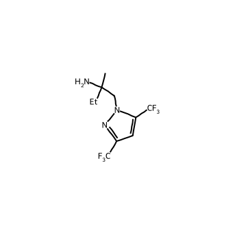 CCC(C)(N)Cn1nc(C(F)(F)F)cc1C(F)(F)F